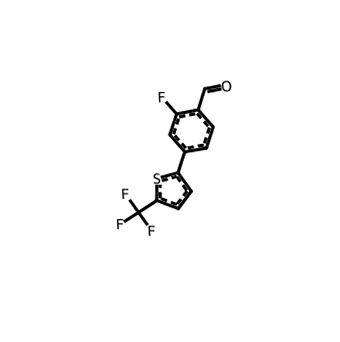 O=Cc1ccc(-c2ccc(C(F)(F)F)s2)cc1F